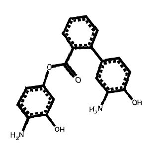 Nc1cc(-c2ccccc2C(=O)Oc2ccc(N)c(O)c2)ccc1O